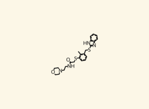 Cc1c(CSc2nc3ccccc3[nH]2)cccc1SCC(=O)NCCN1CCOCC1